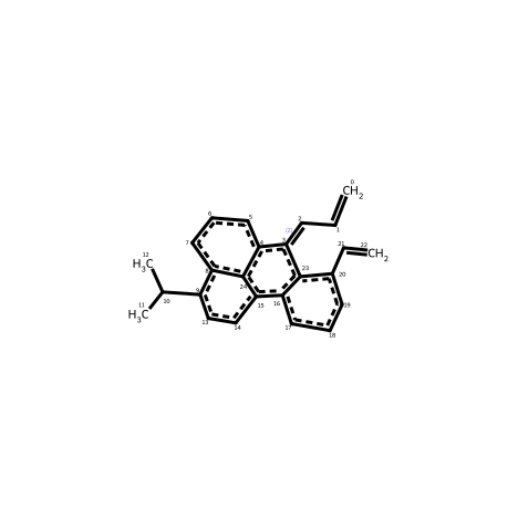 C=C/C=c1/c2cccc3c(C(C)C)ccc(c4cccc(C=C)c14)c32